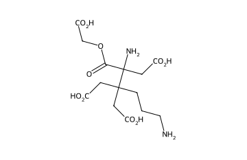 NCCCC(CC(=O)O)(CC(=O)O)C(N)(CC(=O)O)C(=O)OCC(=O)O